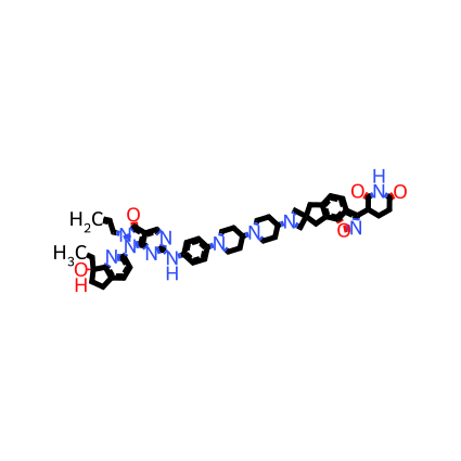 C=CCn1c(=O)c2cnc(Nc3ccc(N4CCC(N5CCC(N6CC7(Cc8ccc9c(C%10CCC(=O)NC%10=O)noc9c8C7)C6)CC5)CC4)cc3)nc2n1-c1ccc2c(n1)[C@](O)(CC)CC2